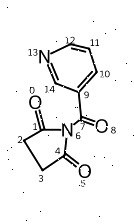 O=C1CCC(=O)N1C(=O)c1cccnc1